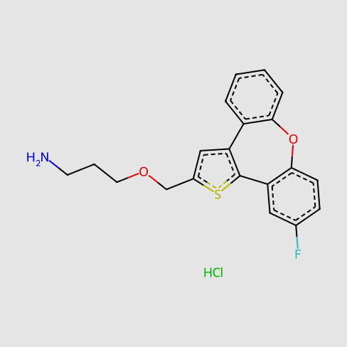 Cl.NCCCOCc1cc2c(s1)-c1cc(F)ccc1Oc1ccccc1-2